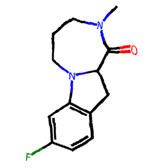 CN1CCCN2c3cc(F)ccc3CC2C1=O